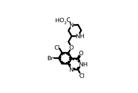 O=C(O)N1CCNC(COc2c(Cl)c(Br)cc3nc(Cl)[nH]c(=O)c23)C1